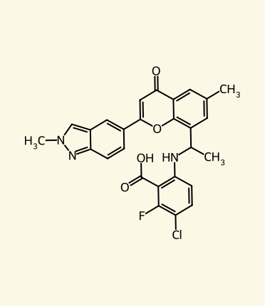 Cc1cc(C(C)Nc2ccc(Cl)c(F)c2C(=O)O)c2oc(-c3ccc4nn(C)cc4c3)cc(=O)c2c1